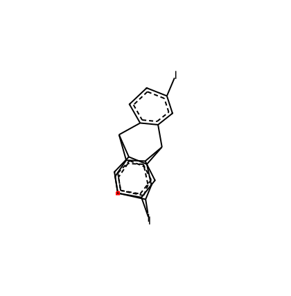 Ic1ccc2c(c1)C1c3cc(I)ccc3C2c2ccc(I)cc21